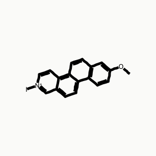 COc1ccc2c(ccc3c4cc[n+](I)cc4ccc23)c1